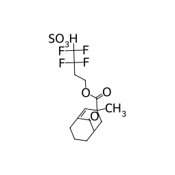 CC1(C(=O)OCCC(F)(F)C(F)(F)S(=O)(=O)O)C=C2CCCC(C1)C2=O